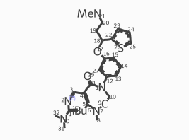 C=C(/N=C\C1=C(C(C)CC)N(C)CCN(c2cccc(OC(CCNC)c3cccs3)c2)C1=O)N(C)C